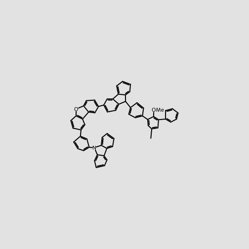 COc1c(-c2ccccc2)cc(C)cc1-c1ccc(C2c3ccccc3-c3cc(-c4ccc5oc6ccc(-c7cccc(-n8c9ccccc9c9ccccc98)c7)cc6c5c4)ccc32)cc1